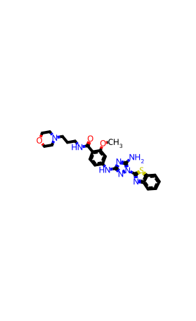 COc1cc(Nc2nc(N)n(-c3nc4ccccc4s3)n2)ccc1C(=O)NCCCN1CCOCC1